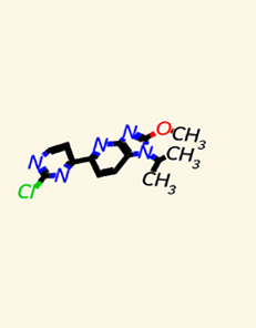 COc1nc2nc(-c3ccnc(Cl)n3)ccc2n1C(C)C